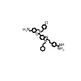 N=C(N)c1ccc(CCc2nc3cc(C(=O)N(Cc4ccc(Cl)cc4)Cc4ccc(CN)cc4)ccc3n2CCC2CCCCC2)cc1